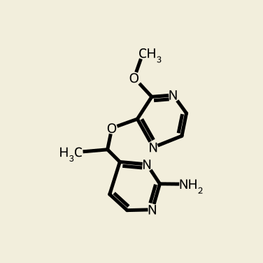 COc1nccnc1OC(C)c1ccnc(N)n1